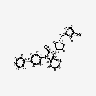 Cn1c(Br)cnc1CN1CC[C@H](n2c(=O)n(-c3ccc(-c4ccncc4)cc3)c3cccnc32)C1